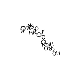 O=C(Nc1ccc(Oc2ccnc(NC(=O)N3CCC(O)C3)c2)c(F)c1)c1cn(-c2cccnc2)nn1